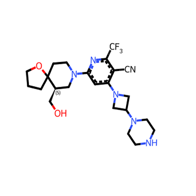 N#Cc1c(N2CC(N3CCNCC3)C2)cc(N2CCC3(CCCO3)[C@H](CO)C2)nc1C(F)(F)F